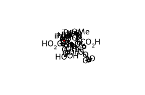 CCC(C)[C@@H]([C@@H](CC(=O)N1CCC[C@H]1[C@H](OC)[C@@H](C)C(=O)NC(Cc1ccccc1)C(=O)O)OC)N(C)C(=O)[C@@H](NC(=O)[C@H](C(C)C)N(C)C(=O)OC(Cc1cn(CCOCCOCCOCCN2C(=O)C=CC2=O)nn1)c1ccc(O[C@@H]2O[C@H](CO)[C@H](O)[C@H](O)[C@H]2O)c2cc(C(=O)O)sc12)C(C)C